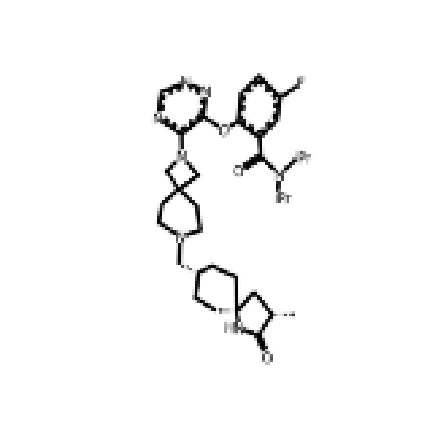 CC(C)N(C(=O)c1cc(F)ccc1Oc1nncnc1N1CC2(CCN(C[C@H]3CC[C@]4(CC3)C[C@H](C)C(=O)N4)CC2)C1)C(C)C